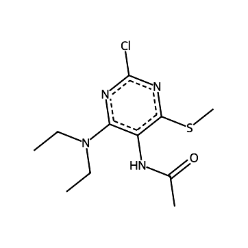 CCN(CC)c1nc(Cl)nc(SC)c1NC(C)=O